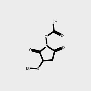 CCSC1CC(=O)N(OC(=O)C(C)C)C1=O